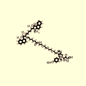 COc1ccc(S(=O)(=O)N(Cc2cn(CCOCCOCCOCCNC(=O)CCCCC[N+]3=C(/C=C/C=C/C=C4\N(C)c5ccc6ccccc6c5C4(C)C)C(C)(C)c4c3ccc3ccccc43)nn2)[C@@H](C(=O)NO)C(C)C)cc1